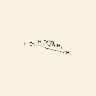 CCCCCCCCCC(CCCCCCCC)C(CCC)(CCC)C([O])=O